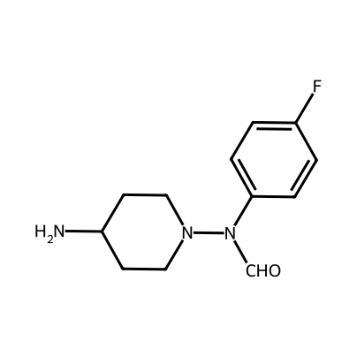 NC1CCN(N(C=O)c2ccc(F)cc2)CC1